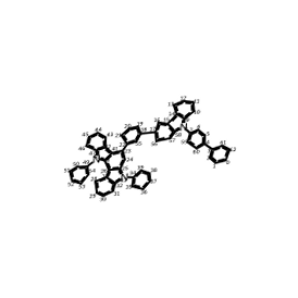 c1ccc(-c2ccc(-n3c4ccccc4c4cc(-c5cccc(-c6cc7c(c8ccccc8n7-c7ccccc7)c7c6c6ccccc6n7-c6ccccc6)c5)ccc43)cc2)cc1